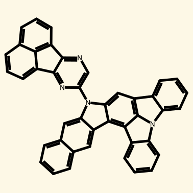 c1ccc2cc3c(cc2c1)c1c2c4ccccc4n4c5ccccc5c(cc1n3-c1cnc3c(n1)-c1cccc5cccc-3c15)c24